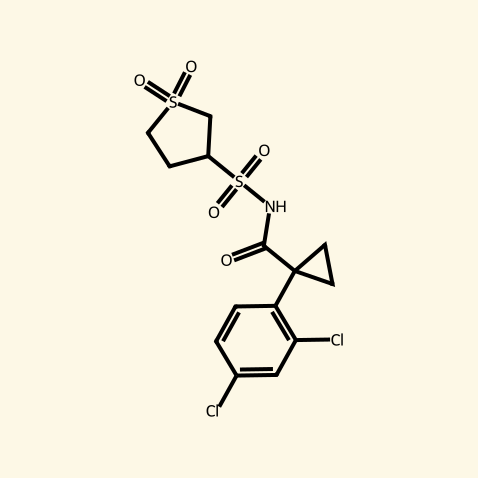 O=C(NS(=O)(=O)C1CCS(=O)(=O)C1)C1(c2ccc(Cl)cc2Cl)CC1